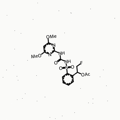 COc1cc(OC)nc(NC(=O)NS(=O)(=O)c2ccccc2C(CF)OC(C)=O)n1